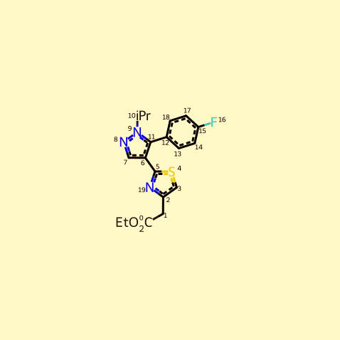 CCOC(=O)Cc1csc(-c2cnn(C(C)C)c2-c2ccc(F)cc2)n1